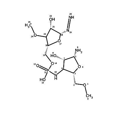 COC[C@H]1O[C@@H](N)[C@@H](O)C1NP(=O)(O)OC[C@H]1O[C@@H](N=N)[C@@H](O)C1OC